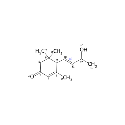 CC1=CC(=O)CC(C)(C)C1/C=C/C(C)O